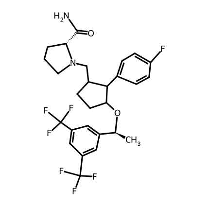 C[C@H](OC1CCC(CN2CCC[C@@H]2C(N)=O)C1c1ccc(F)cc1)c1cc(C(F)(F)F)cc(C(F)(F)F)c1